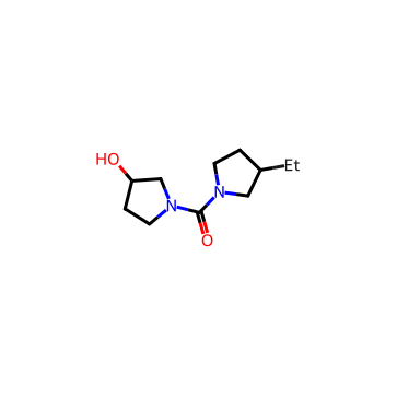 CCC1CCN(C(=O)N2CCC(O)C2)C1